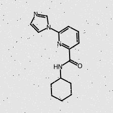 O=C(NC1CCCCC1)c1cccc(-n2ccnc2)n1